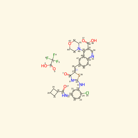 O=C(O)C(F)(F)F.O=C1N=C(Nc2cc(NC(=O)C3CCC3)ccc2Cl)S/C1=C\c1ccc2ncc(C(=O)O)c(N3CCOCC3)c2c1